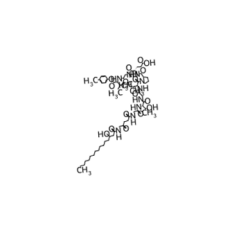 CCCCCCCCCCCCCC(O)CC(=O)NCC(=O)CCC(=O)NCC(=O)N[C@H](C(=O)NCC(=O)N[C@H](C(=O)N1CCCC1C(=O)N[C@@H](CCC(=O)O)C(=O)NCC(=O)N[C@H](C(=O)Oc1ccc(C)cc1)C(C)CC)C(C)C)C(C)O